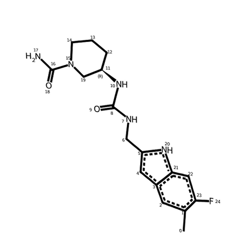 Cc1cc2cc(CNC(=O)N[C@@H]3CCCN(C(N)=O)C3)[nH]c2cc1F